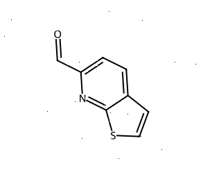 O=Cc1ccc2ccsc2n1